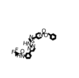 O=C(Nc1cccc(-c2ccnc(Nc3cnc(C4=CCN(C(=O)OCc5ccccc5)CC4)s3)n2)c1)[C@@H]1CC1(F)F